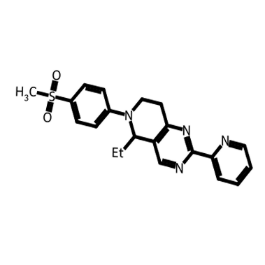 CCC1c2cnc(-c3ccccn3)nc2CCN1c1ccc(S(C)(=O)=O)cc1